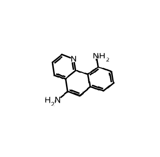 Nc1cc2cccc(N)c2c2ncccc12